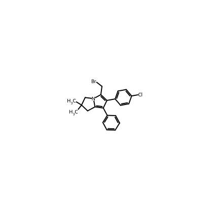 CC1(C)Cc2c(-c3ccccc3)c(-c3ccc(Cl)cc3)c(CBr)n2C1